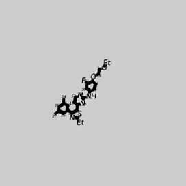 CCOCCOc1ccc(Nc2nccc(-c3sc(CC)nc3-c3cc(C)cc(C)c3)n2)cc1F